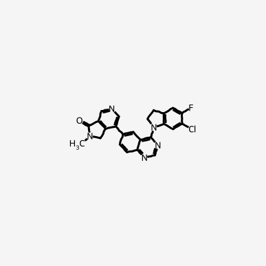 CN1Cc2c(cncc2-c2ccc3ncnc(N4CCc5cc(F)c(Cl)cc54)c3c2)C1=O